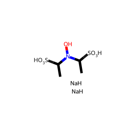 CC(N(O)C(C)S(=O)(=O)O)S(=O)(=O)O.[NaH].[NaH]